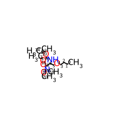 CCCCOCC(NC(=O)OC(C)(C)C)C(=O)N(C)OC